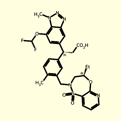 CC[C@@H]1CN(Cc2cc([C@@H](CC(=O)O)c3cc(OC(F)F)c4c(c3)nnn4C)ccc2C)S(=O)(=O)c2cccnc2O1